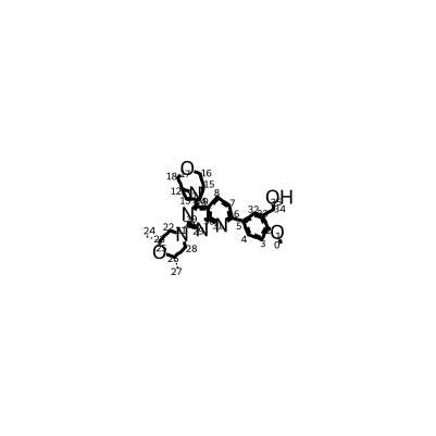 COc1ccc(-c2ccc3c(N4C5CCC4COC5)nc(N4C[C@@H](C)O[C@@H](C)C4)nc3n2)cc1CO